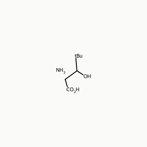 CC(C)(C)C(O)CC(=O)O.N